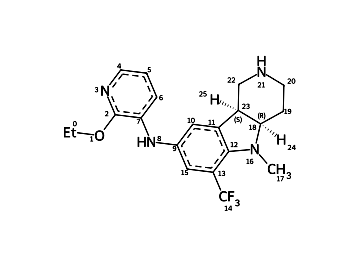 CCOc1ncccc1Nc1cc2c(c(C(F)(F)F)c1)N(C)[C@@H]1CCNC[C@H]21